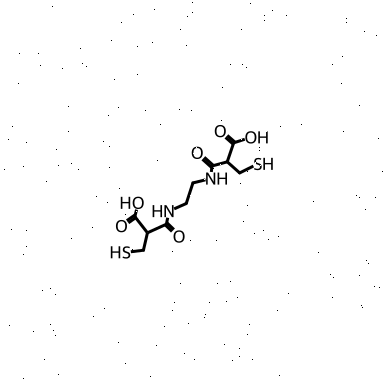 O=C(O)C(CS)C(=O)NCCNC(=O)C(CS)C(=O)O